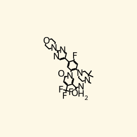 CN1CCN(c2cc(F)c(-c3cnc(N4CCOCC4)nc3)cc2-n2cc(C(N)=O)c(C(F)(F)F)cc2=O)CC1(C)C